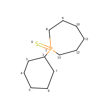 S=P1(C2CCCCC2)CCCCCC1